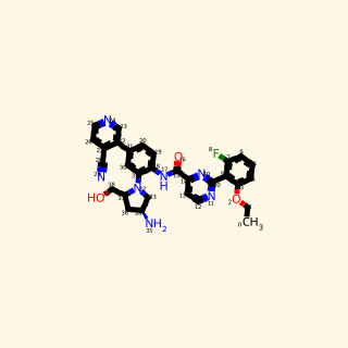 CCOc1cccc(F)c1-c1nccc(C(=O)Nc2ccc(-c3cnccc3C#N)cc2N2C[C@@H](N)CC2CO)n1